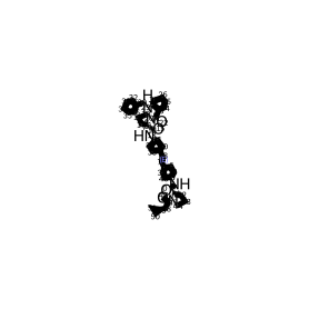 O=C(Nc1ccc(/C=C/c2ccc(NC(=O)[C@@H]3CCCN3C(=O)c3ccccc3NCc3ccccc3)cc2)cc1)[C@@H]1CCCN1C(=O)CC1CC1